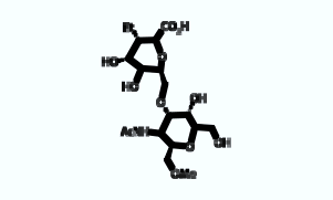 CC[C@@H]1C(C(=O)O)O[C@@H](CO[C@H]2C(NC(C)=O)[C@H](COC)OC(CO)[C@H]2O)C(O)[C@@H]1O